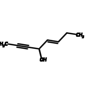 CC#CC(O)/C=C/CC